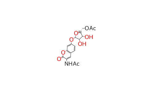 CC(=O)Nc1cc2ccc(OC3O[C@H](COC(C)=O)C(O)C3O)cc2oc1=O